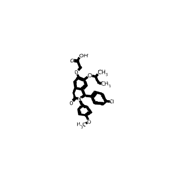 CCC(C)Oc1cc2c(cc1OCC(=O)O)CC(=O)N(c1ccc(OC)cc1)C2c1ccc(Cl)cc1